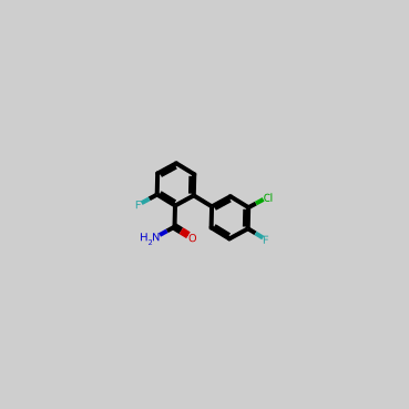 NC(=O)c1c(F)cccc1-c1ccc(F)c(Cl)c1